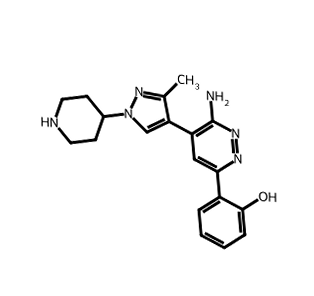 Cc1nn(C2CCNCC2)cc1-c1cc(-c2ccccc2O)nnc1N